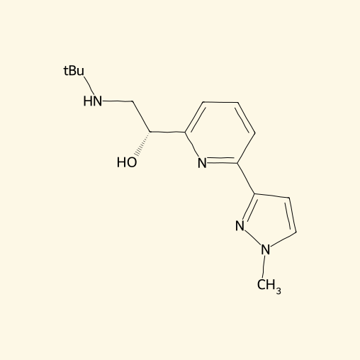 Cn1ccc(-c2cccc([C@H](O)CNC(C)(C)C)n2)n1